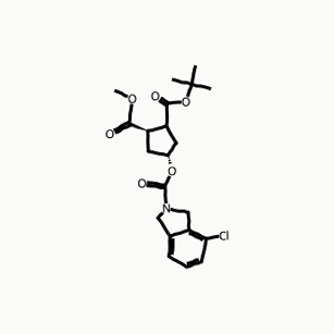 COC(=O)[C@@H]1C[C@@H](OC(=O)N2Cc3cccc(Cl)c3C2)CC1C(=O)OC(C)(C)C